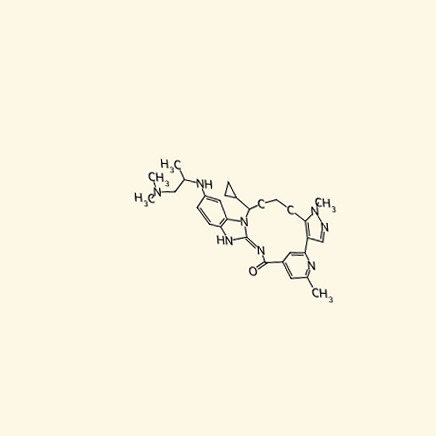 Cc1cc2cc(n1)-c1cnn(C)c1CCCC(C1CC1)N1/C(=N/C2=O)Nc2ccc(NC(C)CN(C)C)cc21